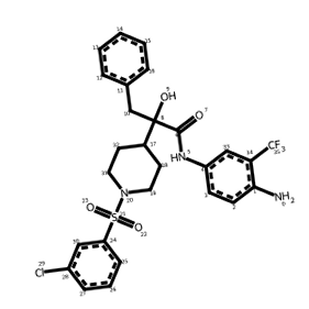 Nc1ccc(NC(=O)C(O)(Cc2ccccc2)C2CCN(S(=O)(=O)c3cccc(Cl)c3)CC2)cc1C(F)(F)F